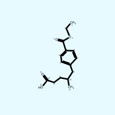 CCOC(=O)c1ccc(CC(C)CCC(=O)O)cc1